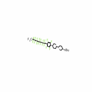 CCCC[C@H]1CC[C@H]([C@H]2CC[C@H](c3c(F)c(F)c(C(F)(F)C(F)(F)C(F)(F)C(F)(F)C(F)(F)C(F)(F)C(F)(F)C(F)(F)F)c(F)c3F)CC2)CC1